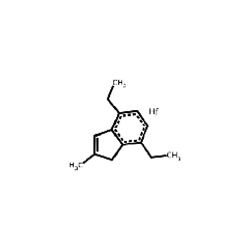 CCc1ccc(CC)c2c1[CH]C(C)=C2.[Hf]